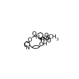 CS(=O)(=O)N[C@H]1CCCN2C(=O)COc3cccnc3C3CCC(CC3)OC[C@@H]12